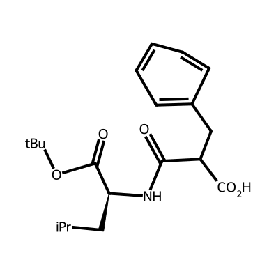 CC(C)C[C@H](NC(=O)C(Cc1ccccc1)C(=O)O)C(=O)OC(C)(C)C